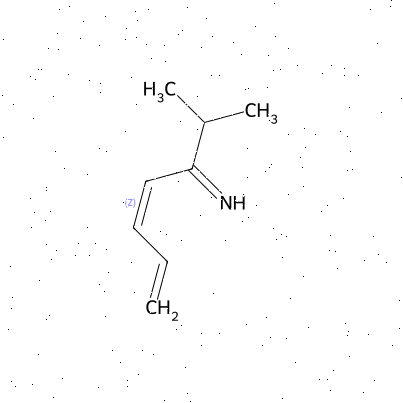 C=C/C=C\C(=N)C(C)C